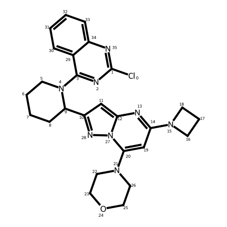 Clc1nc(N2CCCCC2c2cc3nc(N4CCC4)cc(N4CCOCC4)n3n2)c2ccccc2n1